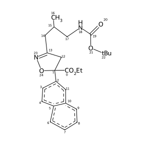 CCOC(=O)C1(c2ccc3ccccc3c2)CC(CC(C)CNC(=O)OC(C)(C)C)=NO1